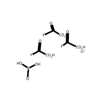 O=C(O)C(=O)F.O=C(O)C(=O)F.O=C(O)C(=O)F.[Li+].[O-]B(O)O